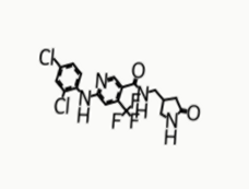 O=C1CC(CNC(=O)c2cnc(Nc3ccc(Cl)cc3Cl)cc2C(F)(F)F)CN1